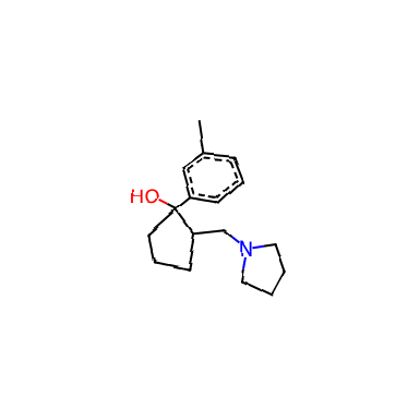 Cc1cccc(C2(O)CCCC2CN2CCCC2)c1